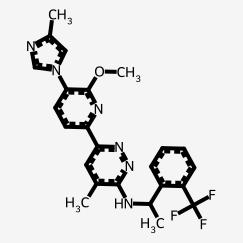 COc1nc(-c2cc(C)c(NC(C)c3ccccc3C(F)(F)F)nn2)ccc1-n1cnc(C)c1